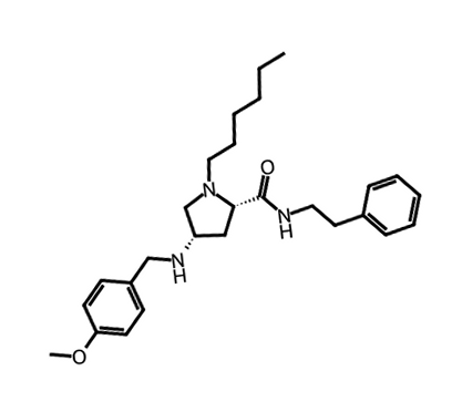 CCCCCCN1C[C@@H](NCc2ccc(OC)cc2)C[C@H]1C(=O)NCCc1ccccc1